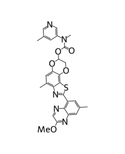 COc1cnc2c(-c3nc4c(C)cc5c(c4s3)OCC(OC(=O)N(C)c3cncc(C)c3)O5)cc(C)cc2n1